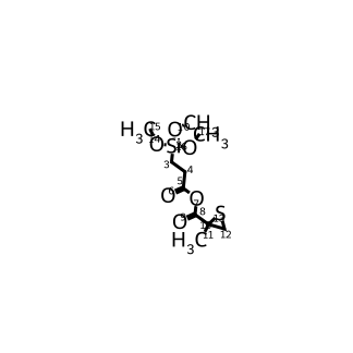 CO[Si](CCC(=O)OC(=O)C1(C)CS1)(OC)OC